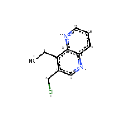 N#CCc1c(CCl)cnc2cccnc12